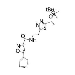 C[C@H](O[Si](C)(C)C(C)(C)C)c1nnc(CCNC(=O)c2cc(-c3ccccc3)on2)s1